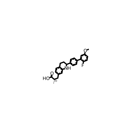 COc1ccc(F)c(-c2ccc(C3CCc4ccc(C[C@H](C)C(=O)O)cc4N3)cc2)c1